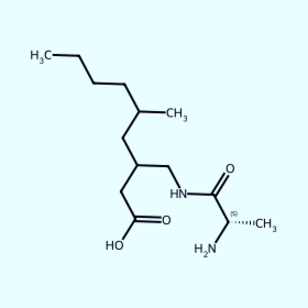 CCCCC(C)CC(CNC(=O)[C@H](C)N)CC(=O)O